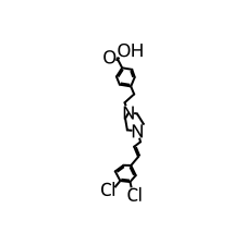 O=C(O)c1ccc(CCN2CCN(C/C=C/c3ccc(Cl)c(Cl)c3)CC2)cc1